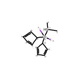 C[SiH](C)[Zr]([I])([I])([CH]1C=CC=C1)[CH]1C=CC=C1